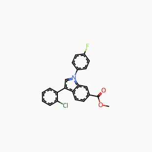 COC(=O)c1ccc2c(-c3ccccc3Cl)cn(-c3ccc(F)cc3)c2c1